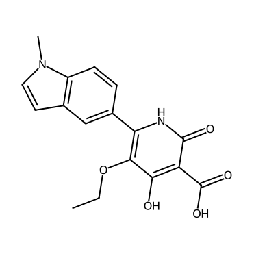 CCOc1c(-c2ccc3c(ccn3C)c2)[nH]c(=O)c(C(=O)O)c1O